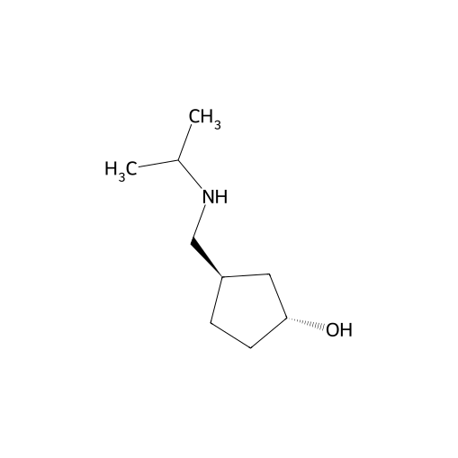 CC(C)NC[C@@H]1CC[C@@H](O)C1